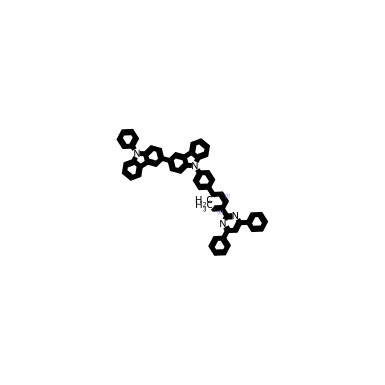 C=C(/C=C\C(=C/C)c1nc(-c2ccccc2)cc(-c2ccccc2)n1)c1ccc(-n2c3ccccc3c3cc(-c4ccc5c(c4)c4ccccc4n5-c4ccccc4)ccc32)cc1